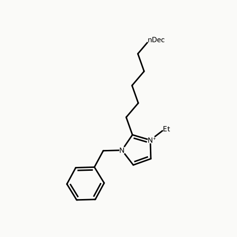 CCCCCCCCCCCCCCCc1n(Cc2ccccc2)cc[n+]1CC